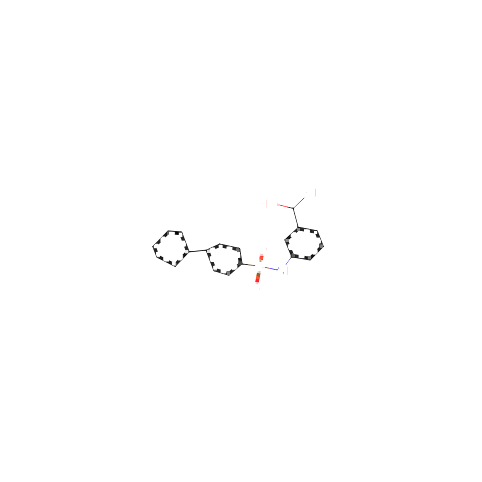 CC(O)c1cccc(NS(=O)(=O)c2ccc(-c3ccccc3)cc2)c1